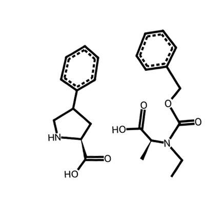 CCN(C(=O)OCc1ccccc1)[C@@H](C)C(=O)O.O=C(O)[C@@H]1CC(c2ccccc2)CN1